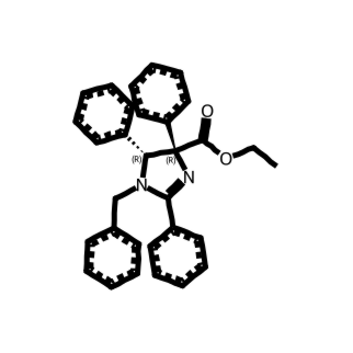 CCOC(=O)[C@]1(c2ccccc2)N=C(c2ccccc2)N(Cc2ccccc2)[C@@H]1c1ccccc1